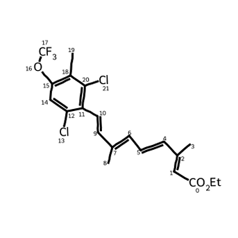 CCOC(=O)C=C(C)C=CC=C(C)C=Cc1c(Cl)cc(OC(F)(F)F)c(C)c1Cl